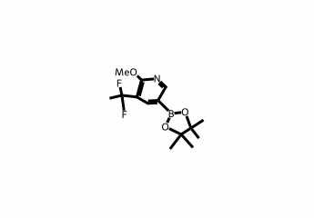 COc1ncc(B2OC(C)(C)C(C)(C)O2)cc1C(C)(F)F